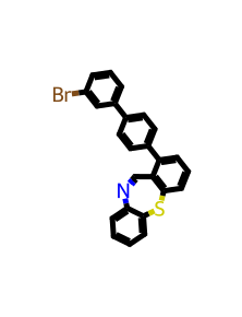 Brc1cccc(-c2ccc(-c3cccc4c3C=Nc3ccccc3S4)cc2)c1